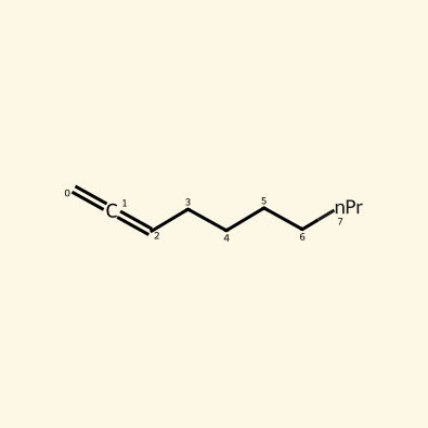 C=C=CCCCCCCC